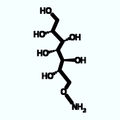 NOC[C@H](O)[C@H](O)[C@H](O)[C@@H](O)[C@H](O)CO